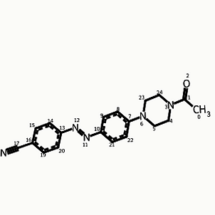 CC(=O)N1CCN(c2ccc(N=Nc3ccc(C#N)cc3)cc2)CC1